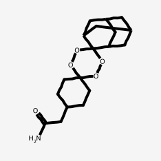 NC(=O)CC1CCC2(CC1)OOC1(OO2)C2CC3CC(C2)CC1C3